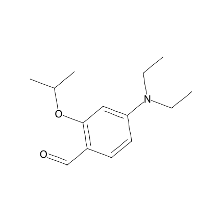 CCN(CC)c1ccc(C=O)c(OC(C)C)c1